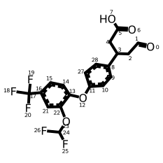 O=CCC(CC(=O)O)c1ccc(Oc2ccc(C(F)(F)F)cc2OC(F)F)cc1